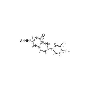 CC(=O)Nc1nc2ccc(-c3ccc(F)c(C)c3)nc2c(=O)[nH]1